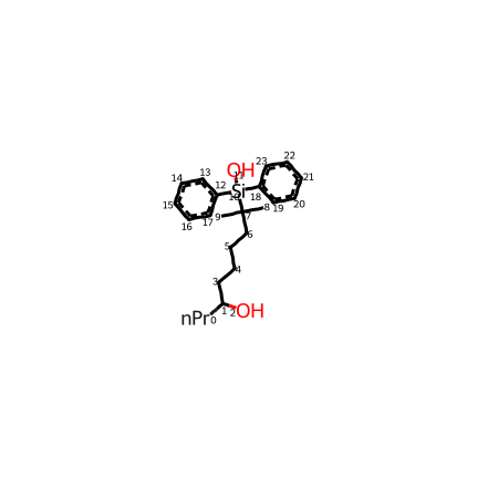 CCCC(O)CCCCC(C)(C)[Si](O)(c1ccccc1)c1ccccc1